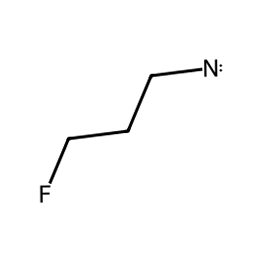 [N]CCCF